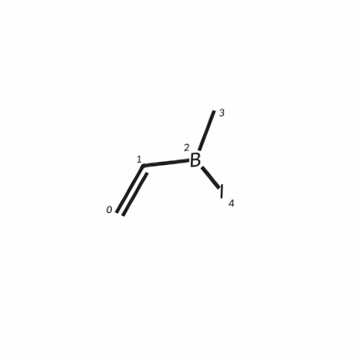 C=CB(C)I